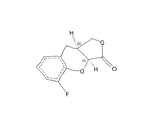 O=C1OC[C@@H]2Cc3cccc(F)c3O[C@H]12